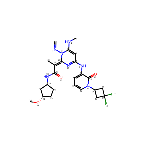 C=NN1C(NC)=CC(Nc2cccn(C3CC(F)(F)C3)c2=O)=N/C1=C(/C)C(=O)N[C@H]1CC[C@H](OC)C1